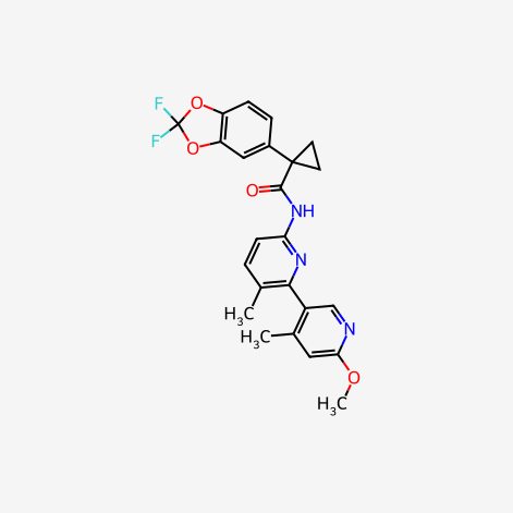 COc1cc(C)c(-c2nc(NC(=O)C3(c4ccc5c(c4)OC(F)(F)O5)CC3)ccc2C)cn1